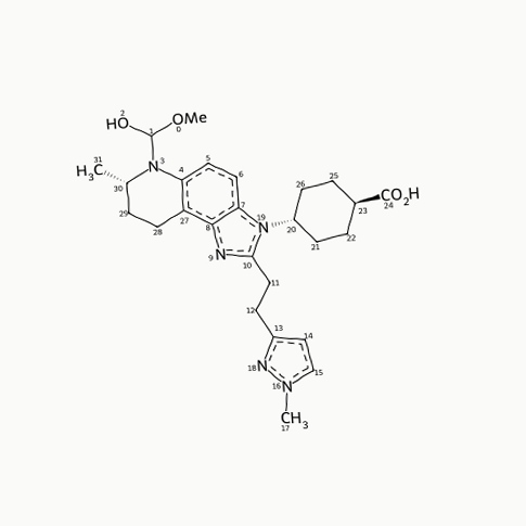 COC(O)N1c2ccc3c(nc(CCc4ccn(C)n4)n3[C@H]3CC[C@H](C(=O)O)CC3)c2CC[C@@H]1C